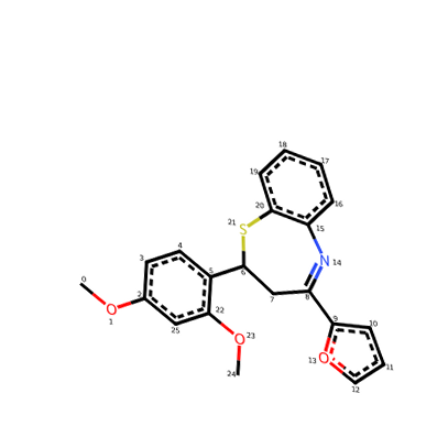 COc1ccc(C2CC(c3ccco3)=Nc3ccccc3S2)c(OC)c1